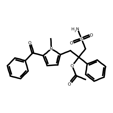 CC(=O)OC(Cc1ccc(C(=O)c2ccccc2)n1C)(CS(N)(=O)=O)c1ccccc1